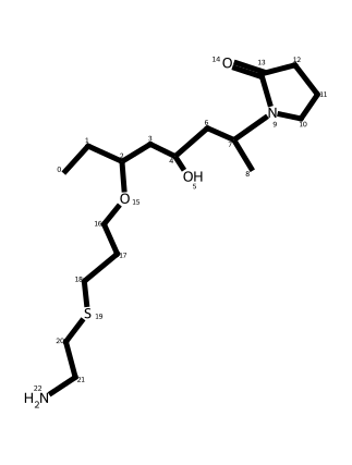 CCC(CC(O)CC(C)N1CCCC1=O)OCCCSCCN